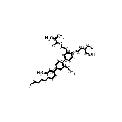 C=C/C=C(\C=C/CCCCCC)c1ccc(-c2ccc(OCCC(CO)CO)c(CCOC(=O)C(=C)C)c2)c(CC)c1